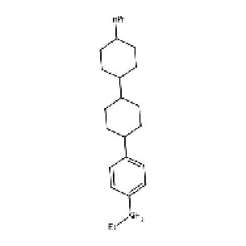 CCCC1CCC(C2CCC(c3ccc([SiH2]CC)cc3)CC2)CC1